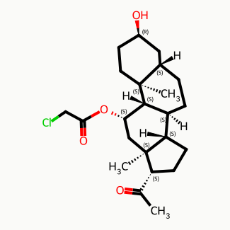 CC(=O)[C@H]1CC[C@H]2[C@@H]3CC[C@H]4C[C@H](O)CC[C@]4(C)[C@H]3[C@@H](OC(=O)CCl)C[C@]12C